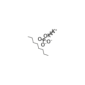 CCCCCCCC.O=P([O-])([O-])[O-].[K+].[K+].[K+]